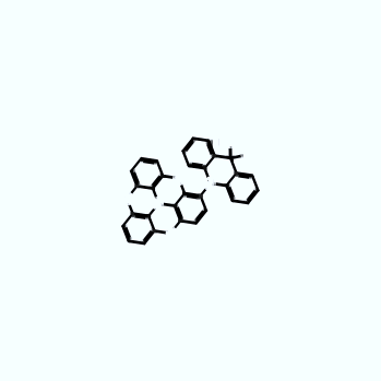 CC1(C)c2ccccc2N(c2ccc3c4c2Oc2cccc5c2B4c2c(cccc2S3)S5)c2ccccc21